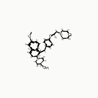 COc1ccc2c(Cc3ccc(OCCN4CCOCC4)cc3)c(N3CCC(O)CC3)ccc2c1